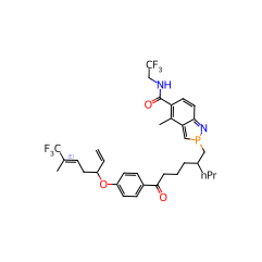 C=CC(C/C=C(\C)C(F)(F)F)Oc1ccc(C(=O)CCCC(CCC)Cp2cc3c(C)c(C(=O)NCC(F)(F)F)ccc3n2)cc1